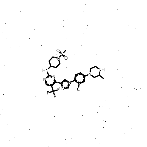 CC1CN(c2ccc(-n3cnc(-c4nc(NC5CCN(S(C)(=O)=O)CC5)ncc4C(F)(F)F)c3)c(Cl)c2)CCN1